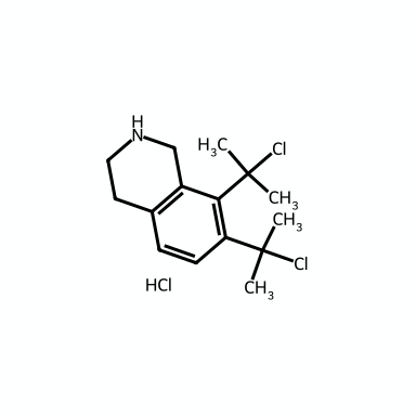 CC(C)(Cl)c1ccc2c(c1C(C)(C)Cl)CNCC2.Cl